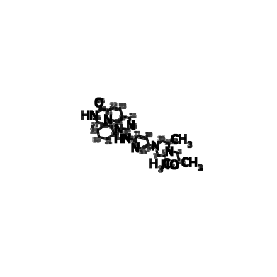 C[C@H](O)CN1[C@H](C)CN(c2ccc(Nc3ncc4c(n3)N3C(C=C4)C(=O)NCC34CCCCC4)nc2)C[C@@H]1C